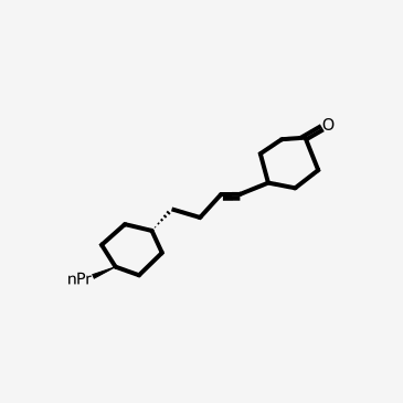 CCC[C@H]1CC[C@H](CCC=CC2CCC(=O)CC2)CC1